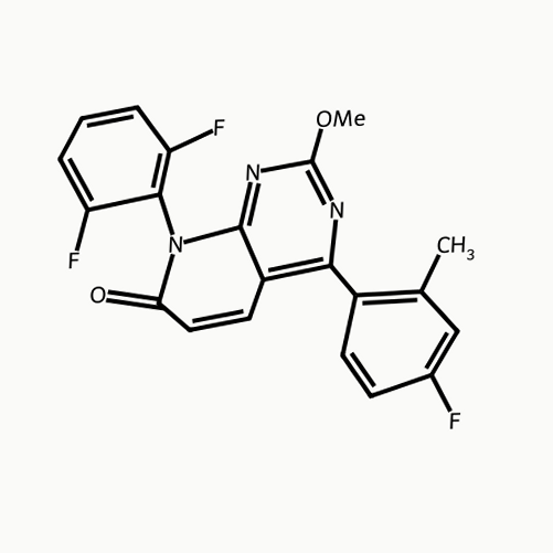 COc1nc(-c2ccc(F)cc2C)c2ccc(=O)n(-c3c(F)cccc3F)c2n1